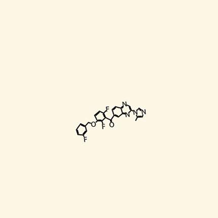 Cc1cncn1-c1cnc2ccc(C(=O)c3c(F)ccc(OCc4cccc(F)c4)c3F)cc2n1